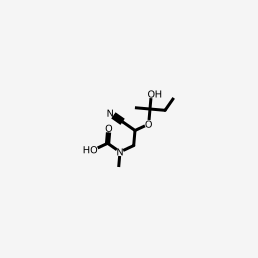 CCC(C)(O)OC(C#N)CN(C)C(=O)O